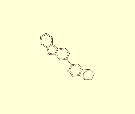 c1ccc2c(c1)oc1cc(-c3cc4c(cn3)C3CCC4C3)ccc12